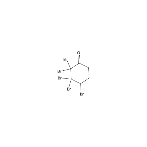 O=C1CCC(Br)C(Br)(Br)C1(Br)Br